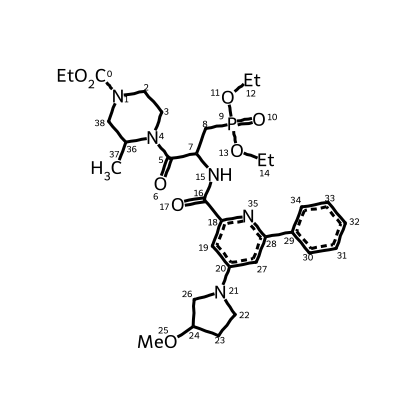 CCOC(=O)N1CCN(C(=O)C(CP(=O)(OCC)OCC)NC(=O)c2cc(N3CCC(OC)C3)cc(-c3ccccc3)n2)C(C)C1